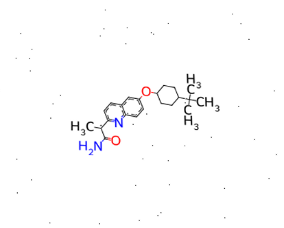 C[C](C(N)=O)c1ccc2cc(OC3CCC(C(C)(C)C)CC3)ccc2n1